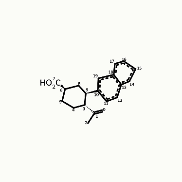 C=C(C)[C@@H]1CC[C@@H](C(=O)O)C[C@H]1c1ccc2ccccc2c1